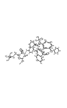 COC(=O)NC(Cc1ccc(N(C(=O)C(=O)OC(C)(C)C)c2ccccc2C(=O)OC(c2ccccc2)c2ccccc2)c2ccccc12)C(=O)OCC[Si](C)(C)C